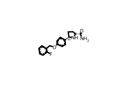 NC(=O)[C@H]1CC[C@H](c2ccc(OCc3ccccc3F)cc2)N1